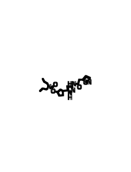 CCCN(CCC)C(=O)OC1CCC(c2cc(NC(=O)Cc3ccno3)n[nH]2)C1